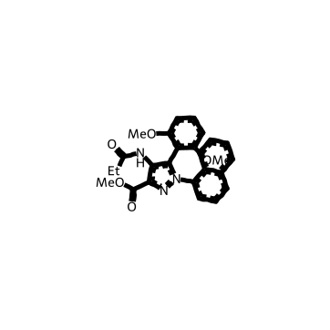 CCC(=O)Nc1c(C(=O)OC)nn(-c2cccc3ccccc23)c1-c1c(OC)cccc1OC